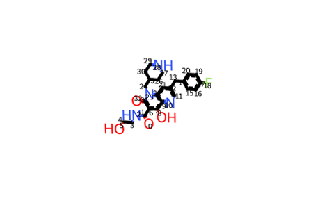 O=C(NCCO)c1c(O)c2ncc(Cc3ccc(F)cc3)cc2n(CC2CCNCC2)c1=O